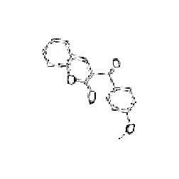 COc1ccc(C(=O)c2cc3ccccc3oc2=O)cc1